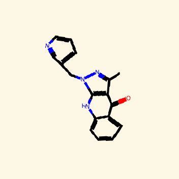 Cc1nn(Cc2cccnc2)c2[nH]c3ccccc3c(=O)c12